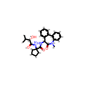 CC(C)[C@H](O)C(=O)NC1(C(=O)NC2C(=O)N(C)c3ccccc3-c3ccccc32)CCCC1